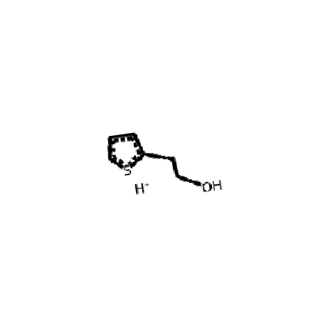 OCCc1cccs1.[H+]